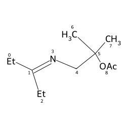 CCC(CC)=NCC(C)(C)OC(C)=O